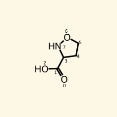 O=C(O)C1CCON1